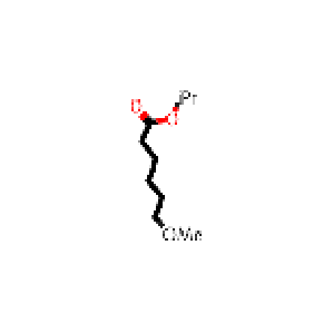 COCCCCCC(=O)OC(C)C